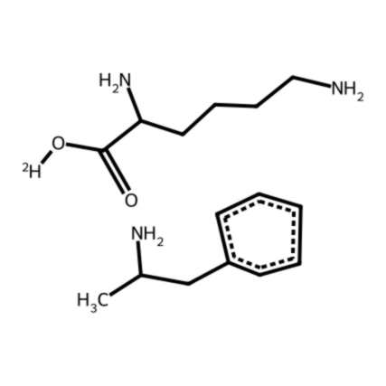 CC(N)Cc1ccccc1.[2H]OC(=O)C(N)CCCCN